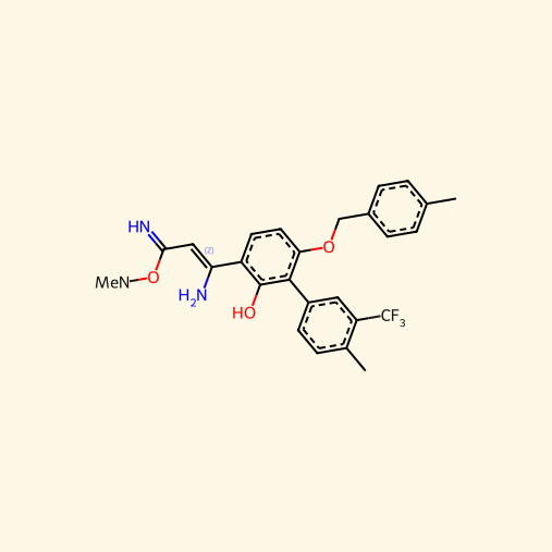 CNOC(=N)/C=C(\N)c1ccc(OCc2ccc(C)cc2)c(-c2ccc(C)c(C(F)(F)F)c2)c1O